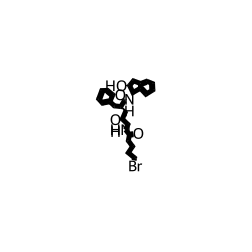 O=C(CCCCBr)NC[C@@H](O)C[C@@H](Cc1ccccc1)C(=O)N[C@H]1c2ccccc2C[C@H]1O